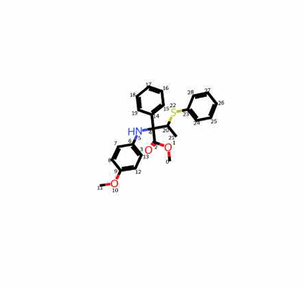 COC(=O)C(Nc1ccc(OC)cc1)(c1ccccc1)C(C)Sc1ccccc1